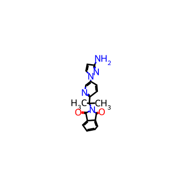 CC(C)(c1ccc(-n2ccc(N)n2)cn1)N1C(=O)c2ccccc2C1=O